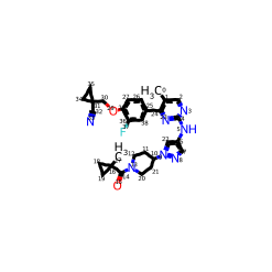 Cc1cnc(Nc2cnn(C3CCN(C(=O)C4(C)CC4)CC3)c2)nc1-c1ccc(OCC2(C#N)CC2)c(F)c1